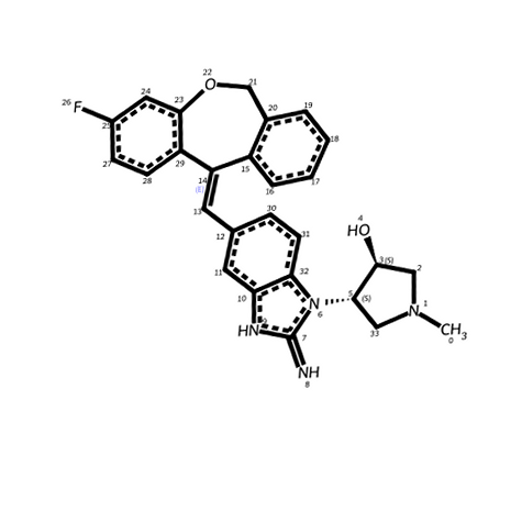 CN1C[C@H](O)[C@@H](n2c(=N)[nH]c3cc(/C=C4\c5ccccc5COc5cc(F)ccc54)ccc32)C1